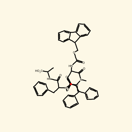 CC(NC(=O)C(Cc1ccccc1)N(C)C(=O)C(Cc1ccccc1)N(C)C(=O)C(CC(=O)OCc1ccccc1)NC(=O)OCC1c2ccccc2-c2ccccc21)C(=O)O